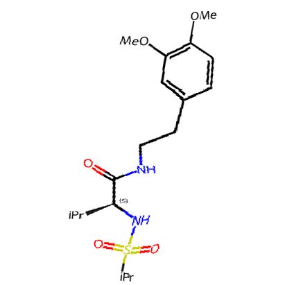 COc1ccc(CCNC(=O)[C@@H](NS(=O)(=O)C(C)C)C(C)C)cc1OC